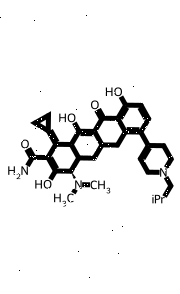 CC(C)CN1CC=C(c2ccc(O)c3c2CC2CC4C(C(O)=C2C3=O)C(=C2CC2)C(C(N)=O)=C(O)[C@H]4N(C)C)CC1